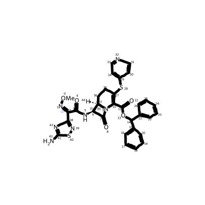 CO/N=C(\C(=O)N[C@@H]1C(=O)N2C(C(=O)OC(c3ccccc3)c3ccccc3)=C(Sc3ccncc3)CC[C@H]12)c1nsc(N)n1